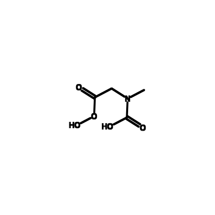 CN(CC(=O)OO)C(=O)O